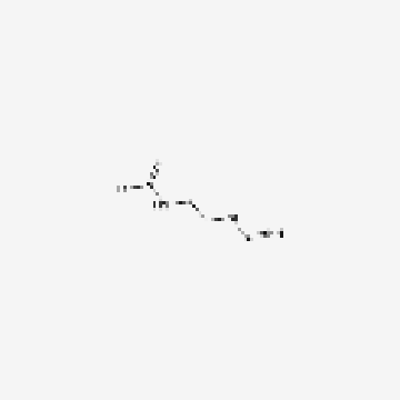 CCC(=O)NCCNN=N